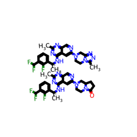 Cc1nc(N[C@H](C)c2cccc(C(F)F)c2F)c2cc(N3CCN4C(=O)CCC4C3)ncc2n1.Cc1nc(N[C@H](C)c2cccc(C(F)F)c2F)c2cc(N3CCn4c(C)nnc4C3)ncc2n1